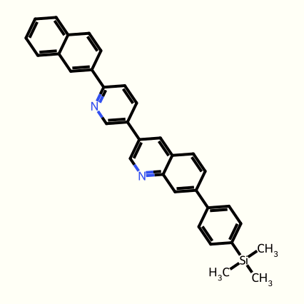 C[Si](C)(C)c1ccc(-c2ccc3cc(-c4ccc(-c5ccc6ccccc6c5)nc4)cnc3c2)cc1